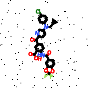 O=C(Nc1ccc(C(=O)c2ccc(N(CC3CC3)c3ccc(Cl)cc3)cn2)cc1C(=O)O)c1ccc2c(c1)OC(F)(F)O2